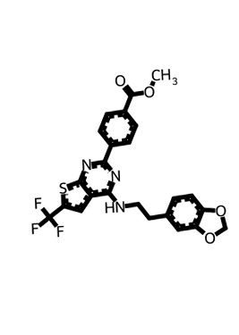 COC(=O)c1ccc(-c2nc(NCCc3ccc4c(c3)OCO4)c3cc(C(F)(F)F)sc3n2)cc1